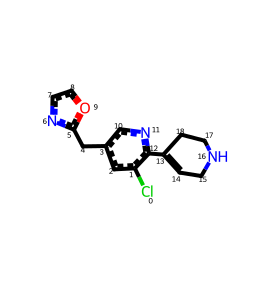 Clc1cc(Cc2ncco2)cnc1C1=CCNCC1